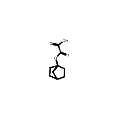 O=C(O)C(=O)OC12CCC(CC1)C2